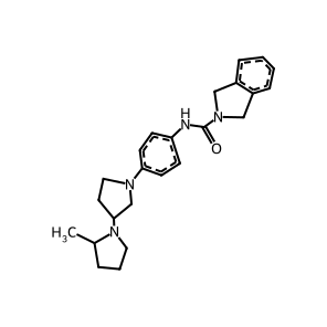 CC1CCCN1C1CCN(c2ccc(NC(=O)N3Cc4ccccc4C3)cc2)C1